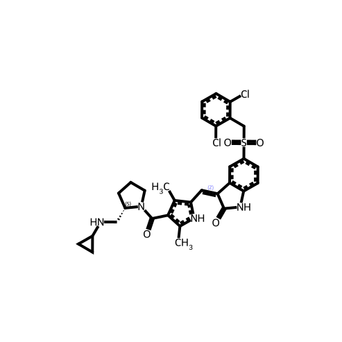 Cc1[nH]c(/C=C2\C(=O)Nc3ccc(S(=O)(=O)Cc4c(Cl)cccc4Cl)cc32)c(C)c1C(=O)N1CCC[C@H]1CNC1CC1